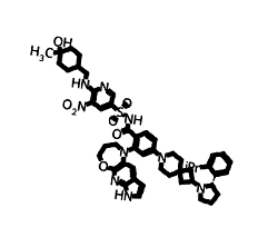 CC(C)c1ccccc1[C@@H]1CCCN1C1CC2(CCN(c3ccc(C(=O)NS(=O)(=O)c4cnc(NCC5CCC(C)(O)CC5)c([N+](=O)[O-])c4)c(N4CCCOc5nc6[nH]ccc6cc54)c3)CC2)C1